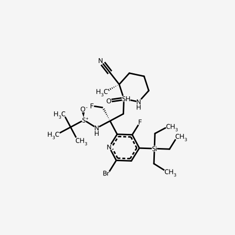 CC[Si](CC)(CC)c1cc(Br)nc([C@](CF)(C[SH]2(=O)NCCC[C@]2(C)C#N)N[S@+]([O-])C(C)(C)C)c1F